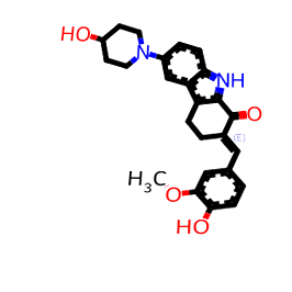 COc1cc(/C=C2\CCc3c([nH]c4ccc(N5CCC(O)CC5)cc34)C2=O)ccc1O